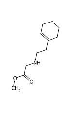 COC(=O)CNCCC1=CCCCC1